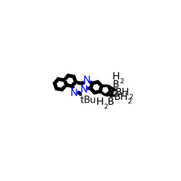 BC1(B)C2CC(c3cc4c(cc32)nc2c3ccc5ccccc5c3nc(C(C)(C)C)n42)C1(B)B